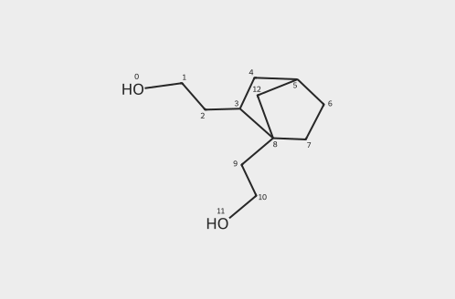 OCCC1CC2CCC1(CCO)C2